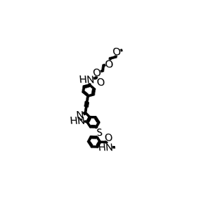 CNC(=O)c1ccccc1Sc1ccc2c(C#Cc3ccc(NC(=O)OCCOCCOC)cc3)n[nH]c2c1